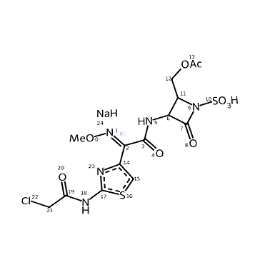 CO/N=C(/C(=O)NC1C(=O)N(S(=O)(=O)O)C1COC(C)=O)c1csc(NC(=O)CCl)n1.[NaH]